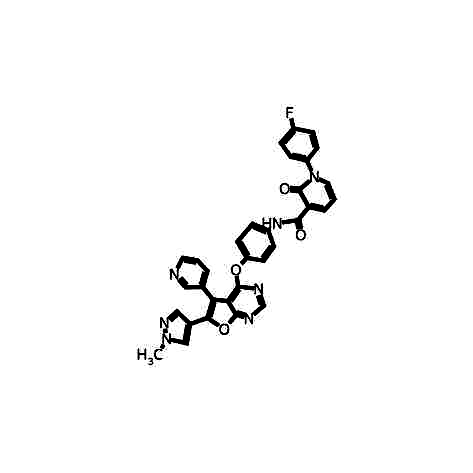 Cn1cc(-c2oc3ncnc(Oc4ccc(NC(=O)c5cccn(-c6ccc(F)cc6)c5=O)cc4)c3c2-c2cccnc2)cn1